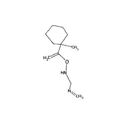 C=NCNOC(=C)C1(C)CCCCC1